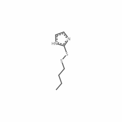 CCCCSSc1ncc[nH]1